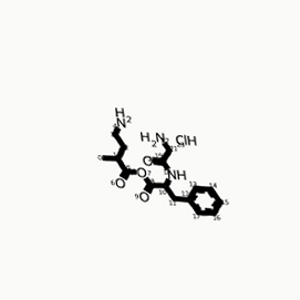 CC(CCN)C(=O)OC(=O)C(Cc1ccccc1)NC(=O)CN.Cl